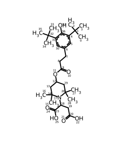 CC(C)(C)c1cc(CCC(=O)OC2CC(C)(C)N(C(CC(=O)O)C(=O)O)C(C)(C)C2)cc(C(C)(C)C)c1O